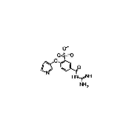 COS(=O)(=O)c1cc(C(=O)NC(=N)N)ccc1Oc1cccnc1